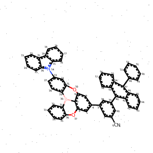 N#Cc1cc(-c2cc3c4c(c2)Oc2cc(-n5c6ccccc6c6ccccc65)ccc2B4c2ccccc2O3)cc(-c2c3ccccc3c(-c3ccccc3)c3ccccc23)c1